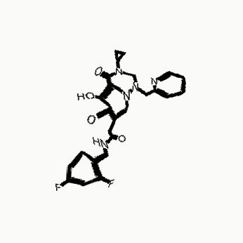 O=C(NCc1ccc(F)cc1F)c1cn2c(c(O)c1=O)C(=O)N(C1CC1)CN2Cc1ccccn1